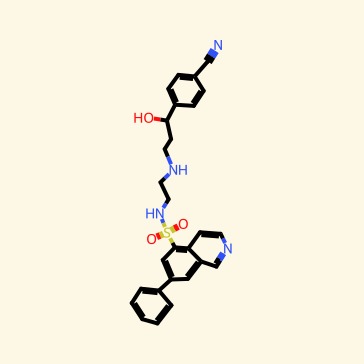 N#Cc1ccc(C(O)CCNCCNS(=O)(=O)c2cc(-c3ccccc3)cc3cnccc23)cc1